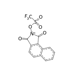 O=C1c2ccc3ccccc3c2C(=O)[N+]1OS(=O)(=O)C(F)(F)F